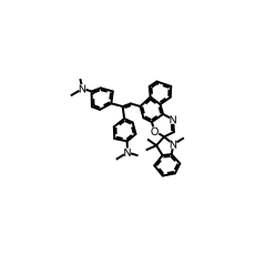 CN(C)c1ccc(C(=Cc2cc3c(c4ccccc24)N=CC2(O3)N(C)c3ccccc3C2(C)C)c2ccc(N(C)C)cc2)cc1